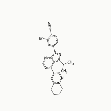 CC(C)c1nn(-c2ccc(C#N)c(Br)c2)c2nccc(-c3cnc4c(c3)CCCC4)c12